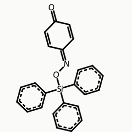 O=C1C=CC(=NO[Si](c2ccccc2)(c2ccccc2)c2ccccc2)C=C1